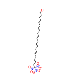 O=[C]CCC=CCC=CCC=CCC=CCC=CCC=CCC([N+](=O)[O-])([N+](=O)[O-])[N+](=O)[O-]